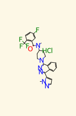 CN(C(=O)c1cc(F)ccc1C(F)(F)F)C1CCN(c2nnc(-c3ccnn3C)c3ccccc23)CC1.Cl